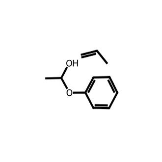 C=CC.CC(O)Oc1ccccc1